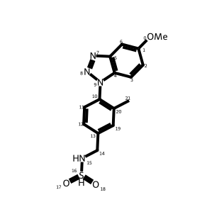 COc1ccc2c(c1)nnn2-c1ccc(CN[SH](=O)=O)cc1C